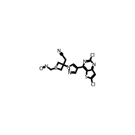 N#CCC1(n2cc(-c3nc(Cl)nc4cc(Cl)sc34)cn2)CB(CN=O)C1